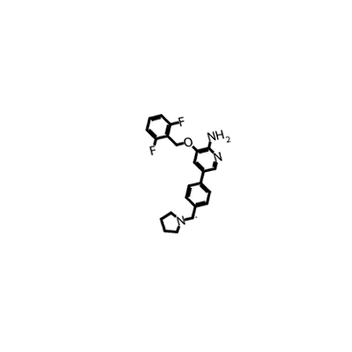 Nc1ncc(-c2ccc([CH]N3CCCC3)cc2)cc1OCc1c(F)cccc1F